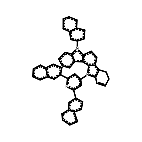 C1=Cc2c(c3ccc4c(c5ccccc5n4-c4ccc5ccccc5c4)c3n2-c2cc(-c3ccc4ccccc4c3)nc(-c3ccc4ccccc4c3)c2)CC1